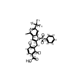 Cc1nc(C(F)(F)F)cc2c1cc(Cc1c(Cl)ccc(C(=O)O)c1Cl)n2S(=O)(=O)c1ccccc1